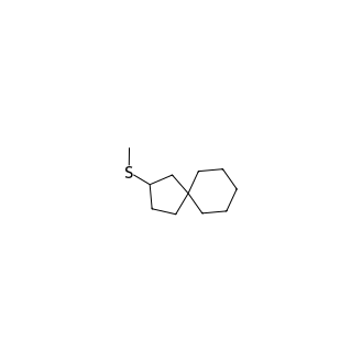 CSC1CCC2(CCCCC2)C1